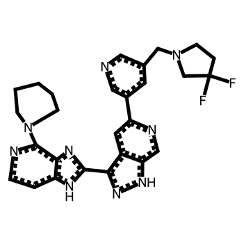 FC1(F)CCN(Cc2cncc(-c3cc4c(-c5nc6c(N7CCCCC7)nccc6[nH]5)n[nH]c4cn3)c2)C1